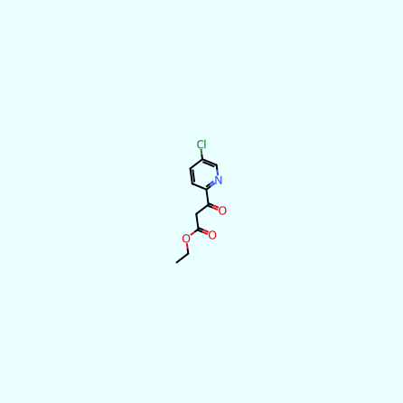 CCOC(=O)CC(=O)c1ccc(Cl)cn1